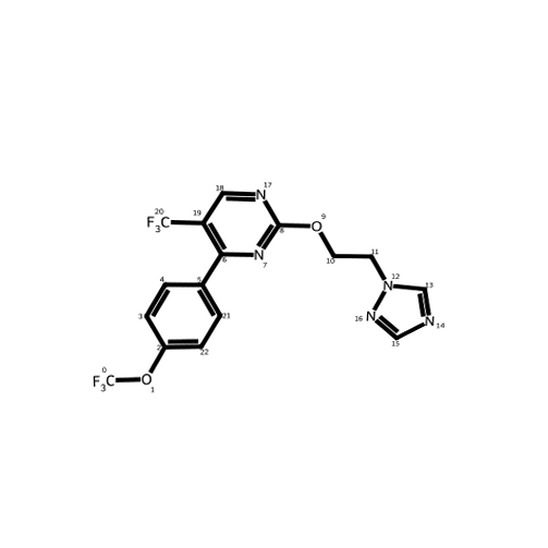 FC(F)(F)Oc1ccc(-c2nc(OCCn3cncn3)ncc2C(F)(F)F)cc1